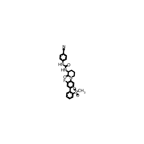 CS(=O)(=O)c1ccccc1-c1ccc(N2CCCC(NC(=O)Nc3ccc(C#N)cc3)C2=O)c(F)c1